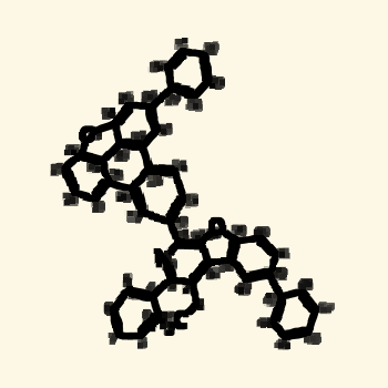 CCc1c(-c2ccccc2)nc(-c2ccc3c(c2)c2cccc4oc5cc(-c6ccccc6)cc3c5c42)c2oc3ccc(-c4ccccc4)cc3c12